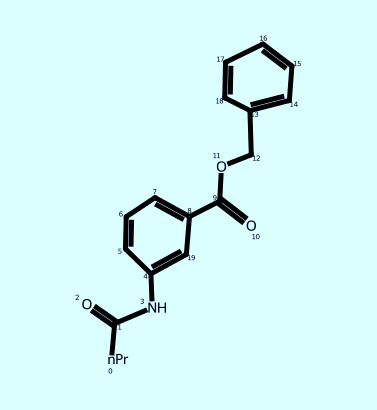 CCCC(=O)Nc1cccc(C(=O)OCc2ccccc2)c1